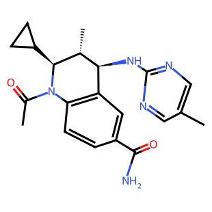 CC(=O)N1c2ccc(C(N)=O)cc2[C@H](Nc2ncc(C)cn2)[C@@H](C)[C@@H]1C1CC1